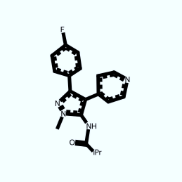 CC(C)C(=O)Nc1c(-c2ccncc2)c(-c2ccc(F)cc2)nn1C